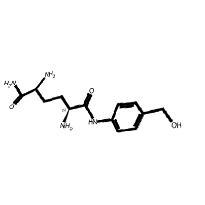 NC(=O)C(N)CC[C@H](N)C(=O)Nc1ccc(CO)cc1